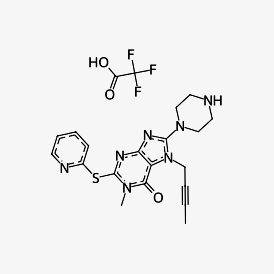 CC#CCn1c(N2CCNCC2)nc2nc(Sc3ccccn3)n(C)c(=O)c21.O=C(O)C(F)(F)F